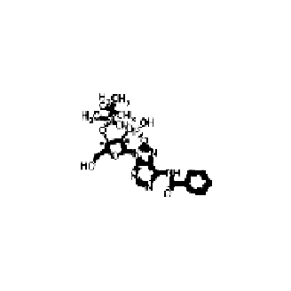 CC(C)(C)[Si](C)(C)O[C@@H]1C(CO)OC(n2cnc3c(NC(=O)c4ccccc4)ncnc32)[C@@H]1O[PH](=O)O